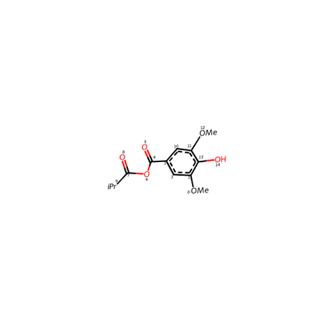 COc1cc(C(=O)OC(=O)C(C)C)cc(OC)c1O